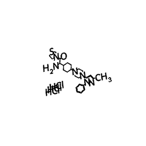 Cc1cc(N2CCN(C3CCC(C(N)C(=O)N4CCSC4)CC3)CC2)n(-c2ccccc2)n1.Cl.Cl.Cl